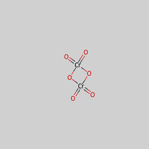 [O]=[Cr]1(=[O])[O][Cr](=[O])(=[O])[O]1